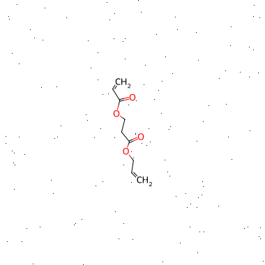 C=CCOC(=O)CCOC(=O)C=C